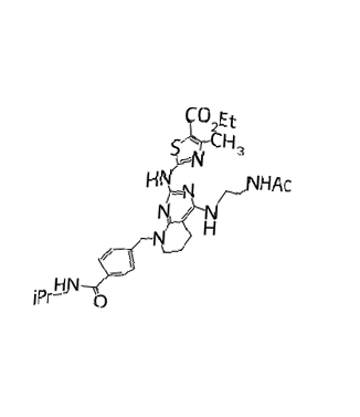 CCOC(=O)c1sc(Nc2nc(NCCNC(C)=O)c3c(n2)N(Cc2ccc(C(=O)NCC(C)C)cc2)CCC3)nc1C